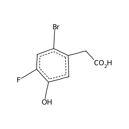 O=C(O)Cc1cc(O)c(F)cc1Br